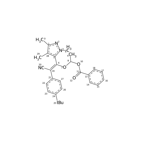 Cc1nn(C)c(/C(OC(C)OC(=O)c2ccccc2)=C(\C#N)c2ccc(C(C)(C)C)cc2)c1C